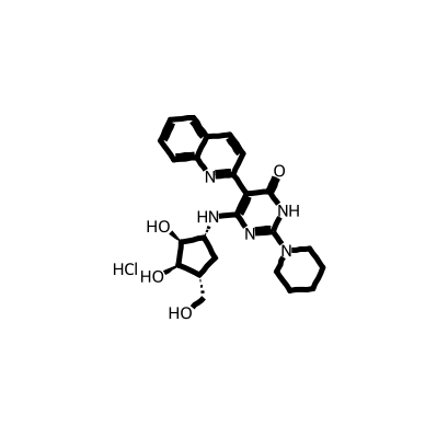 Cl.O=c1[nH]c(N2CCCCC2)nc(N[C@@H]2C[C@H](CO)[C@@H](O)[C@H]2O)c1-c1ccc2ccccc2n1